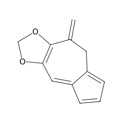 C=C1CC2=CC=CC2=CC2=C1OCO2